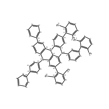 CC(C)c1cccc(C(C)C)c1-c1cccc(N2c3cc(-c4c(C(C)C)cccc4C(C)C)ccc3B3c4cc(-c5ccccc5)ccc4N(c4ccc(-c5ccccc5)cc4)c4cc(-c5c(C(C)C)cccc5C(C)C)cc2c43)c1